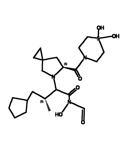 C[C@H](CC1CCCC1)C(C(=O)N(O)C=O)N1CC2(CC2)C[C@H]1C(=O)N1CCS(O)(O)CC1